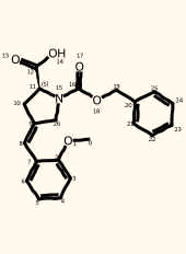 COc1ccccc1C=C1C[C@@H](C(=O)O)N(C(=O)OCc2ccccc2)C1